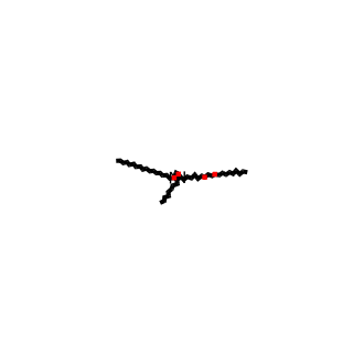 CCCCCCCCCCCCCCCCCCCN1C=CN(CCCCCCCCCCCCCCCCC)C1CCCCCCCC